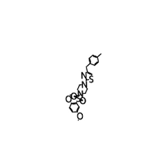 COc1ccc(OC)c(S(=O)(=O)N2CCN(c3nc(Cc4ccc(C)cc4)cs3)CC2)c1